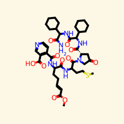 COC(=O)/C=C/CCC(NC(=O)c1ccncc1C(=O)O)C(=O)NC(CCSC)C(=O)N1CC(=O)C[C@H]1C(=O)NC(C(=O)NC(C(N)=O)C1CCCCC1)C1CCCCC1